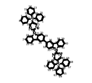 c1ccc(S(c2ccccc2)(c2ccccc2)c2cnc(-n3c4ccccc4c4cc(-c5ccc6c(c5)c5ccccc5n6-c5ncc(S(c6ccccc6)(c6ccccc6)c6ccccc6)cn5)ccc43)nc2)cc1